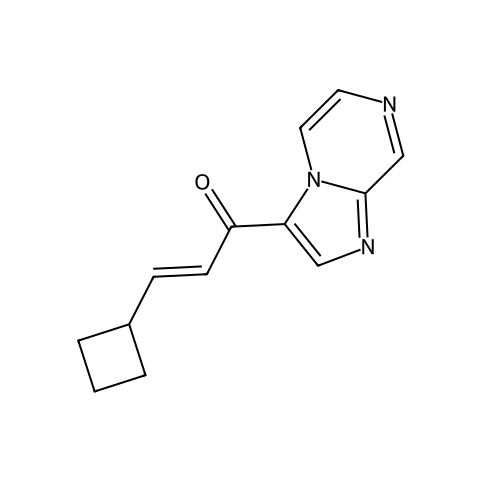 O=C(/C=C/C1CCC1)c1cnc2cnccn12